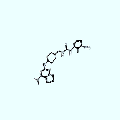 Cc1c(NC(=O)NCC2CCC(Nc3nc(N(C)C)c4ccccc4n3)CC2)cccc1[N+](=O)[O-]